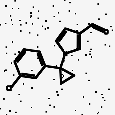 O=Cc1ccn(C2(c3cccc(Cl)c3)CC2)c1